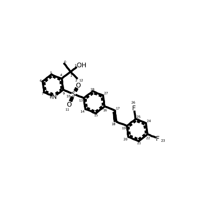 CC(C)(O)c1cccnc1S(=O)(=O)c1ccc(C=Cc2ccc(F)cc2F)cc1